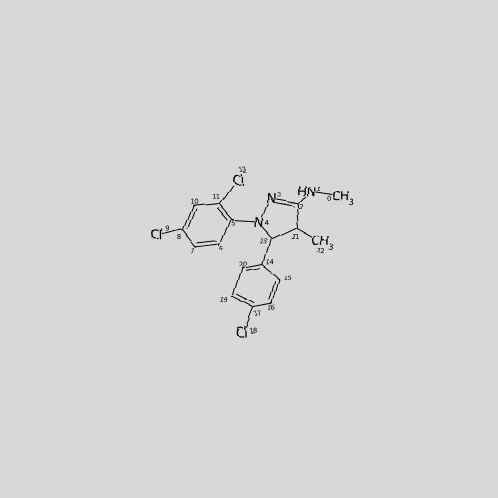 CNC1=NN(c2ccc(Cl)cc2Cl)C(c2ccc(Cl)cc2)C1C